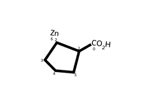 O=C(O)C1CCCC1.[Zn]